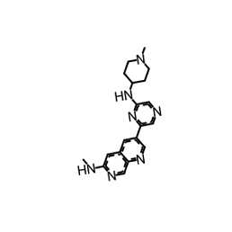 CNc1cc2cc(-c3cncc(NC4CCN(C)CC4)n3)cnc2cn1